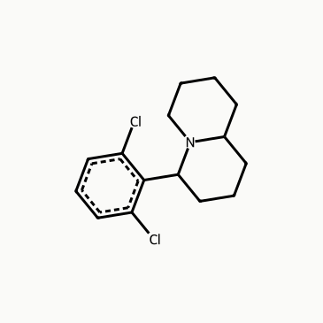 Clc1cccc(Cl)c1C1CCCC2CCCCN21